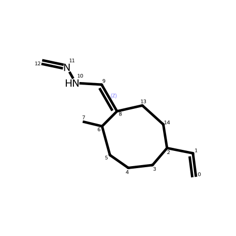 C=CC1CCCC(C)/C(=C\NN=C)CC1